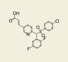 O=C(O)C=Cc1ccc(C(c2cc(F)ccc2F)S(=O)(=O)c2ccc(Cl)cc2)nc1